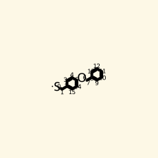 [S]Cc1ccc(OCc2ccccc2)cc1